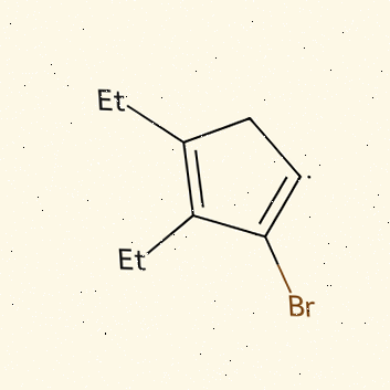 CCC1=C(CC)C(Br)=[C]C1